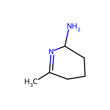 CC1=NC(N)CCC1